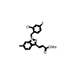 COC(=O)C=Cc1nn(Cc2ccc(F)cc2Cl)c2cc(C)ccc12